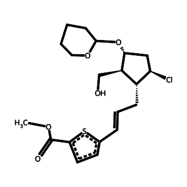 COC(=O)c1ccc(C=CC[C@@H]2[C@@H](CO)[C@H](OC3CCCCO3)C[C@H]2Cl)s1